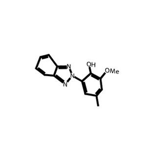 COc1cc(C)cc(-n2nc3ccccc3n2)c1O